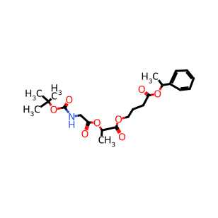 CC(OC(=O)CNC(=O)OC(C)(C)C)C(=O)OCCCC(=O)OC(C)c1ccccc1